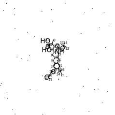 CC(C[C@H](O)[C@H](C[C@H](Cc1ccc(C(C)(C)C)c(OC[C@H]2CO2)c1)C(C)C)NC(=O)OC(C)(C)C)C(=O)O